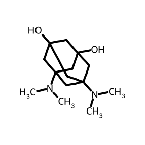 CN(C)C12CC3(O)CC(O)(C1)CC(N(C)C)(C3)C2